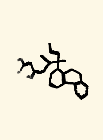 CC=CC(C)(C(C)/C=C(\C=C(/CC)C(C)(C)C)C(C)(C)C)C1CC=CC2=C1CCc1ccccc12